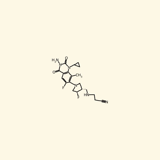 Cc1c(N2C[C@H](CNCCC#N)[C@@H](F)C2)c(F)cc2c(=O)n(N)c(=O)n(C3CC3)c12